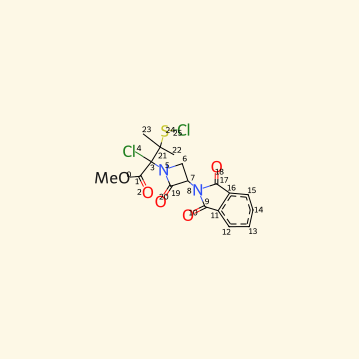 COC(=O)C(Cl)(N1CC(N2C(=O)c3ccccc3C2=O)C1=O)C(C)(C)SCl